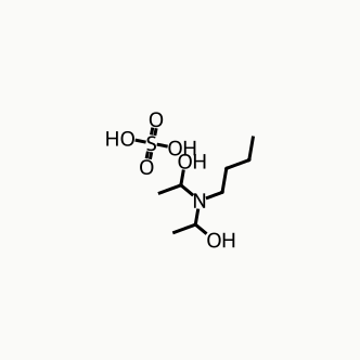 CCCCN(C(C)O)C(C)O.O=S(=O)(O)O